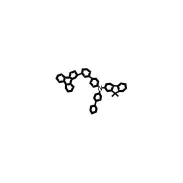 CC1(C)c2ccccc2-c2ccc(N(c3ccc(-c4ccccc4)cc3)c3ccc(-c4cccc(-c5ccc6c7ccccc7c7ccccc7c6c5)c4)cc3)cc21